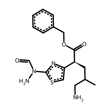 CC(CN)C[C@H](C(=O)OCc1ccccc1)c1csc(N(N)C=O)n1